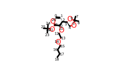 C=C[C@H]([C@@H]1COC(C)(C)O1)[C@@H](OCCOCCCC)C(=O)OC(C)(C)C